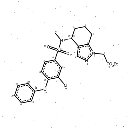 CCOC(=O)Cn1ncc2c1CCC[C@H]2N(C)S(=O)(=O)c1ccc(Oc2ccccc2)c(Cl)c1